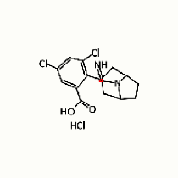 Cl.N=CN1C2CCC1CC(c1c(Cl)cc(Cl)cc1C(=O)O)C2